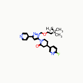 C[Si](C)(C)CCOCn1nc(-c2ccncc2)cc1N1CCC(c2ccc(F)nc2)CC1=O